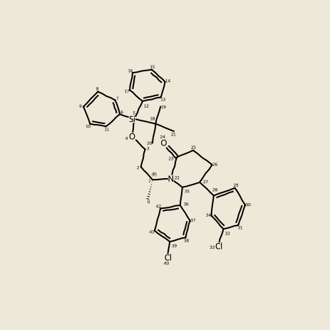 C[C@H](CCO[Si](c1ccccc1)(c1ccccc1)C(C)(C)C)N1C(=O)CCC(c2cccc(Cl)c2)C1c1ccc(Cl)cc1